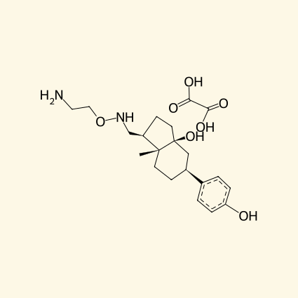 C[C@]12CC[C@H](c3ccc(O)cc3)C[C@@]1(O)CC[C@@H]2CNOCCN.O=C(O)C(=O)O